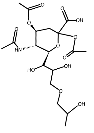 CC(=O)N[C@@H]1[C@@H](OC(C)=O)CC(OC(C)=O)(C(=O)O)O[C@H]1C(O)C(O)COCC(C)O